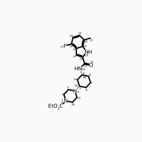 CCOC(=O)N1CCN([C@H]2CCC[C@@H](NC(=O)c3cc4c(F)ccc(C)c4[nH]3)C2)CC1